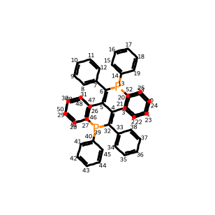 c1ccc(C(/C(=C(/c2ccccc2)P(c2ccccc2)c2ccccc2)c2ccccc2)=C(\c2ccccc2)P(c2ccccc2)c2ccccc2)cc1